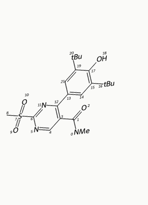 CNC(=O)c1cnc(S(C)(=O)=O)nc1-c1cc(C(C)(C)C)c(O)c(C(C)(C)C)c1